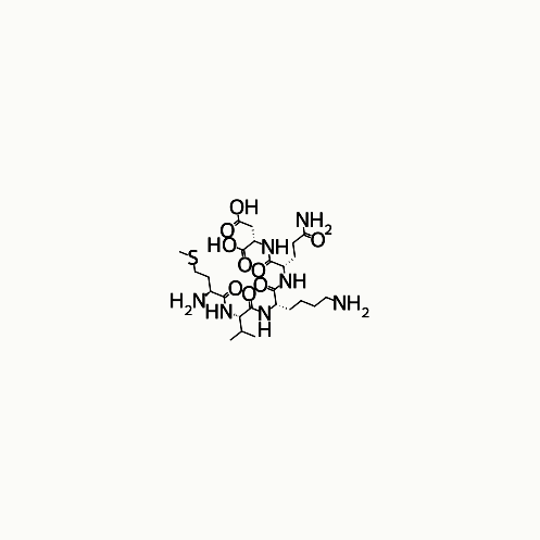 CSCC[C@H](N)C(=O)N[C@H](C(=O)N[C@@H](CCCCN)C(=O)N[C@@H](CCC(N)=O)C(=O)N[C@@H](CC(=O)O)C(=O)O)C(C)C